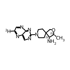 [2H]c1cnc2nc(N3CCC4(CC3)CO[C@@H](C)[C@H]4N)ncc2n1